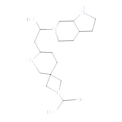 CC(C)N1CC2(CCC(CC(C)N3CCC4CCNC4C3)NC2)C1